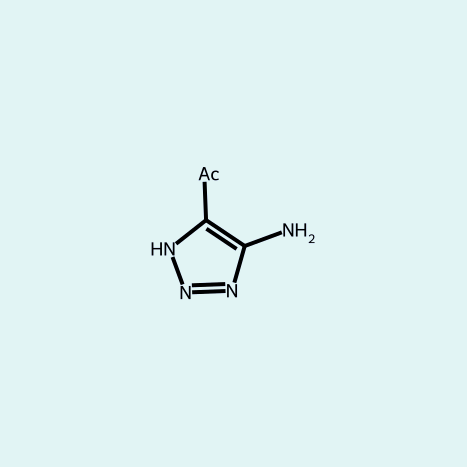 CC(=O)c1[nH]nnc1N